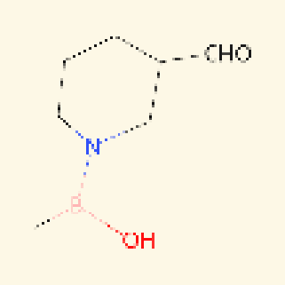 CB(O)N1CCCC(C=O)C1